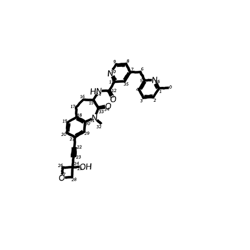 Cc1cccc(Cc2ccnc(C(=O)NC3CCc4ccc(C#CC5(O)COC5)cc4N(C)C3=O)c2)n1